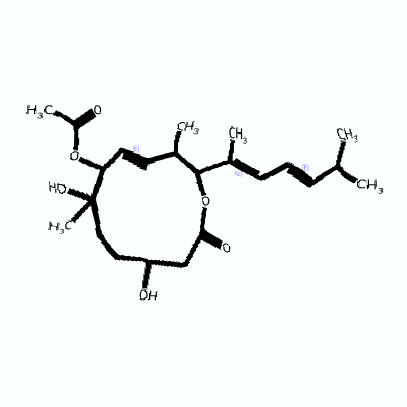 CC(=O)OC1/C=C/C(C)C(/C(C)=C/C=C/C(C)C)OC(=O)CC(O)CCC1(C)O